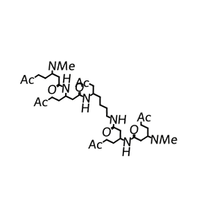 CNC(CCC(C)=O)CC(=O)NC(CCC(C)=O)CC(=O)NCCCCC(CC(C)=O)NC(=O)CC(CCC(C)=O)NC(=O)CC(CCC(C)=O)NC